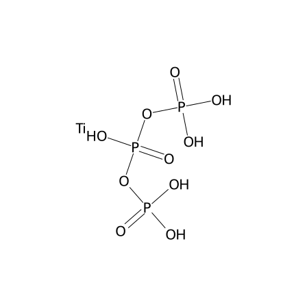 O=P(O)(O)OP(=O)(O)OP(=O)(O)O.[Ti]